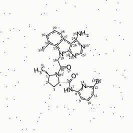 C[C@@H]1CC[C@@H](C(=O)Nc2cccc(Br)n2)N1C(=O)Cn1c2ncnc(N)c2c2cccc(F)c21